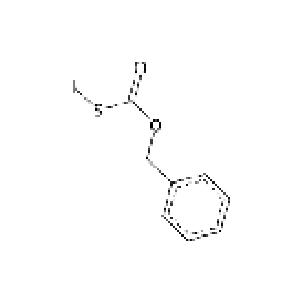 O=C(OCc1ccccc1)SI